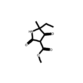 CCC1(C)NC(=O)C(C(=O)OC)C1=O